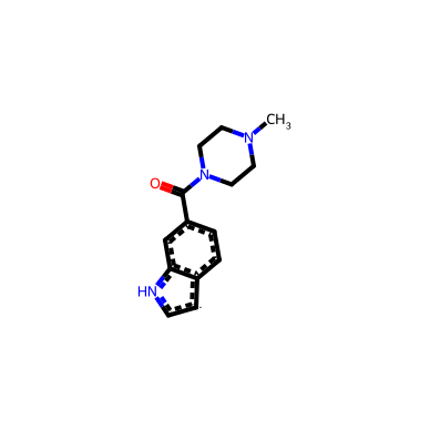 CN1CCN(C(=O)c2ccc3[c]c[nH]c3c2)CC1